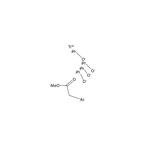 CC(C)[O-].CC(C)[O-].CC(C)[O-].CC(C)[O-].COC(=O)CC(C)=O.[Ti+4]